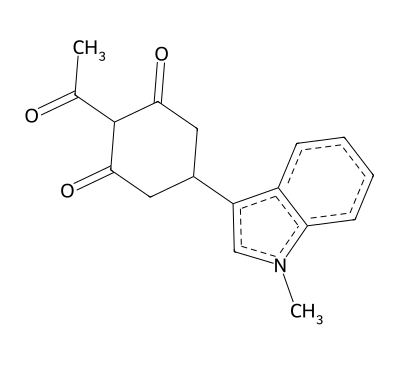 CC(=O)C1C(=O)CC(c2cn(C)c3ccccc23)CC1=O